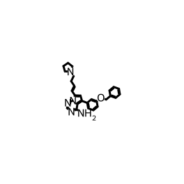 Nc1ncnn2c(C=CCCN3CCCC3)cc(-c3cccc(OCc4ccccc4)c3)c12